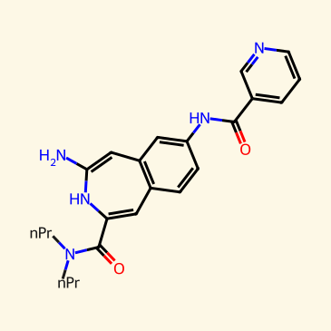 CCCN(CCC)C(=O)C1=Cc2ccc(NC(=O)c3cccnc3)cc2C=C(N)N1